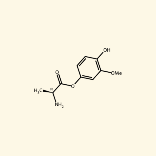 COc1cc(OC(=O)[C@H](C)N)ccc1O